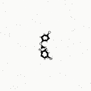 [O]c1ccc(Oc2nc3ccc(Br)cc3s2)cc1